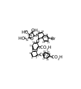 O=C(O)c1ccccc1.O=C(O)c1ccccc1.O=C(O)c1ccccc1.O=c1c2ccc(Br)cc2ccn1[C@@H]1O[C@H](CO)[C@@H](O)[C@H]1O